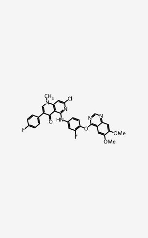 COc1cc2ncnc(Oc3ccc(Nc4nc(Cl)cc5c4c(=O)c(-c4ccc(F)cc4)cn5C)cc3F)c2cc1OC